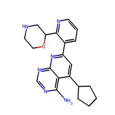 Nc1ncnc2nc(-c3cccnc3C3CNCCO3)cc(C3CCCC3)c12